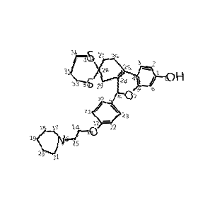 Oc1ccc2c(c1)OC(c1ccc(OCCN3CCCCC3)cc1)C1=C2CCC2(C1)SCCCS2